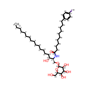 CCCCCCCCCCCCCCC[C@@H](O)[C@H](COC1OC(CO)C(O)C(O)C1O)NC(=O)CCCCCCCCCCc1ccc(I)cc1